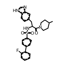 CC1CCN(C(=O)C(Cc2ccc3[nH]cnc3c2)NS(=O)(=O)c2ccc(-c3ccccc3F)cc2)CC1